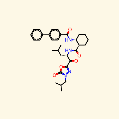 CC(C)C[C@H](NC(=O)[C@@H]1CCCC[C@@H]1NC(=O)c1ccc(-c2ccccc2)cc1)C(=O)c1nn(CC(C)C)c(=O)o1